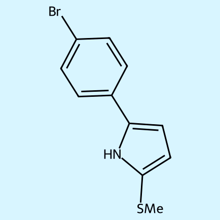 CSc1ccc(-c2ccc(Br)cc2)[nH]1